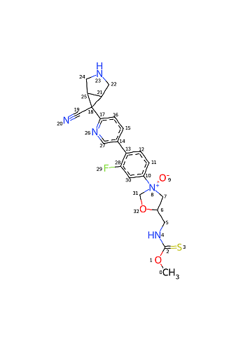 COC(=S)NCC1C[N@+]([O-])(c2ccc(-c3ccc(C4(C#N)C5CNCC54)nc3)c(F)c2)CO1